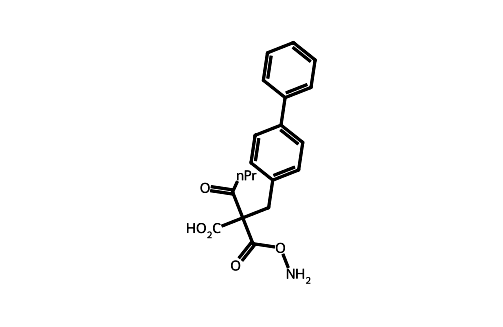 CCCC(=O)C(Cc1ccc(-c2ccccc2)cc1)(C(=O)O)C(=O)ON